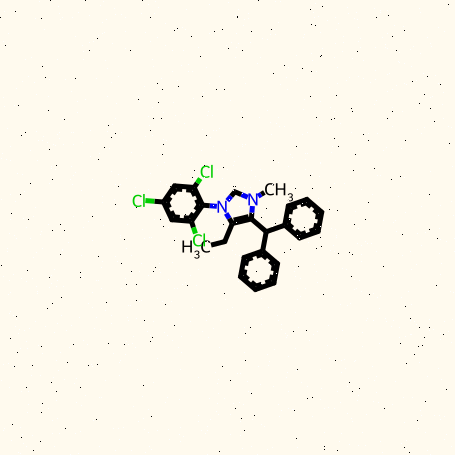 CCC1=C(C(c2ccccc2)c2ccccc2)N(C)CN1c1c(Cl)cc(Cl)cc1Cl